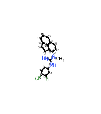 CN(C(=N)Nc1ccc(Cl)c(Cl)c1)c1ccc2cccc3c2c1C=C3